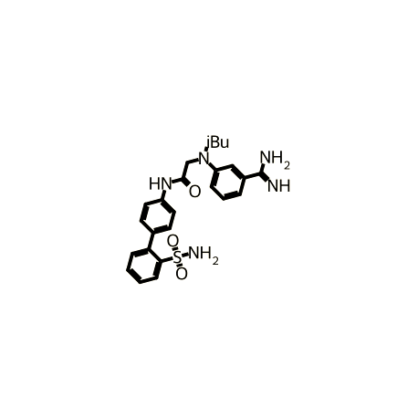 CCC(C)N(CC(=O)Nc1ccc(-c2ccccc2S(N)(=O)=O)cc1)c1cccc(C(=N)N)c1